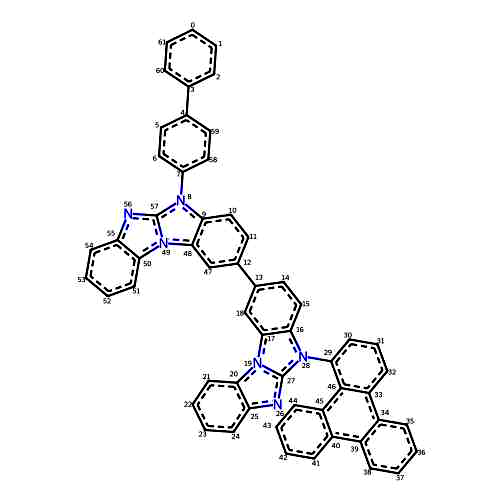 c1ccc(-c2ccc(-n3c4ccc(-c5ccc6c(c5)n5c7ccccc7nc5n6-c5cccc6c7ccccc7c7ccccc7c56)cc4n4c5ccccc5nc34)cc2)cc1